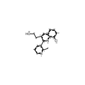 Cc1ncccc1-c1nc2c(Cl)cccc2cc1CCO